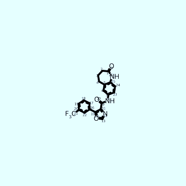 O=C1CCCc2cc(NC(=O)c3ncoc3-c3cccc(C(F)(F)F)c3)ccc2N1